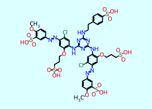 COc1ccc(N=Nc2cc(OCCCS(=O)(=O)O)c(Nc3nc(NCCc4ccc(S(=O)(=O)O)cc4)nc(Nc4cc(Cl)c(N=Nc5ccc(OC)c(S(=O)(=O)O)c5)cc4OCCCS(=O)(=O)O)n3)cc2Cl)cc1S(=O)(=O)O